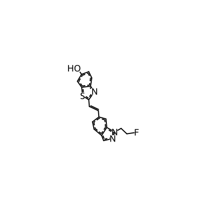 Oc1ccc2nc(/C=C/c3ccc4cnn(CCF)c4c3)sc2c1